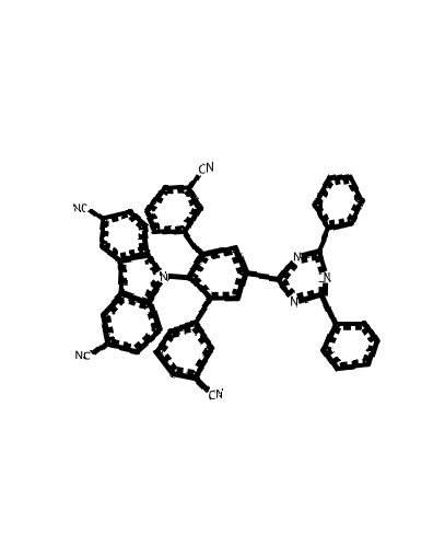 N#Cc1cccc(-c2cc(-c3nc(-c4ccccc4)nc(-c4ccccc4)n3)cc(-c3cccc(C#N)c3)c2-n2c3ccc(C#N)cc3c3cc(C#N)ccc32)c1